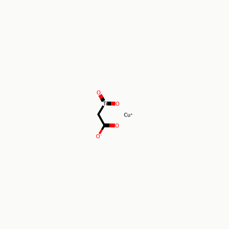 O=C([O-])[CH2][Ti](=[O])=[O].[Cu+]